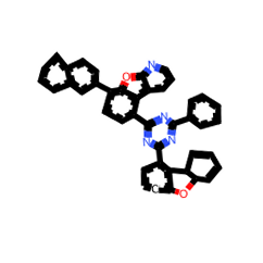 C1=CC2Oc3cccc(-c4nc(-c5ccccc5)nc(-c5ccc(-c6ccc7ccccc7c6)c6oc7ncccc7c56)n4)c3C2C=C1